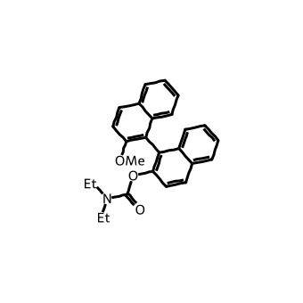 CCN(CC)C(=O)Oc1ccc2ccccc2c1-c1c(OC)ccc2ccccc12